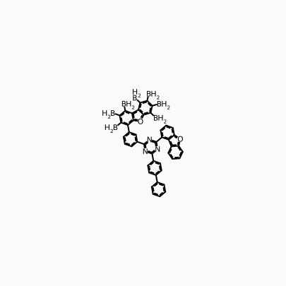 Bc1c(B)c(B)c2c(oc3c(-c4cccc(-c5nc(-c6ccc(-c7ccccc7)cc6)nc(-c6cccc7oc8ccccc8c67)n5)c4)c(B)c(B)c(B)c32)c1B